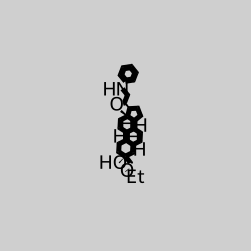 CCOC[C@@]1(O)CC[C@H]2[C@@H](CC[C@@H]3[C@@H]2CC[C@]2(C)[C@@H](C(=O)CNc4ccccc4)CC[C@@H]32)C1